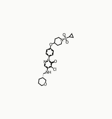 O=c1c(Cl)c(NC[C@H]2CCCOC2)cnn1-c1ccc(OC2CCN(S(=O)(=O)C3CC3)CC2)cc1